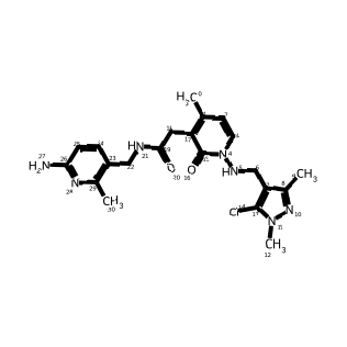 Cc1ccn(NCc2c(C)nn(C)c2Cl)c(=O)c1CC(=O)NCc1ccc(N)nc1C